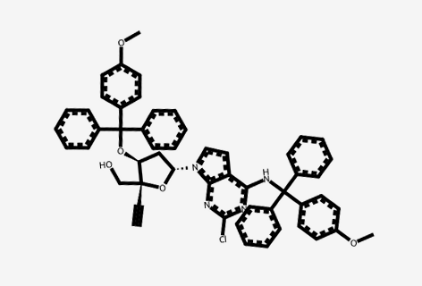 C#C[C@]1(CO)O[C@@H](n2ccc3c(NC(c4ccccc4)(c4ccccc4)c4ccc(OC)cc4)nc(Cl)nc32)C[C@@H]1OC(c1ccccc1)(c1ccccc1)c1ccc(OC)cc1